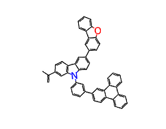 C=C(C)c1ccc2c3cc(-c4ccc5oc6ccccc6c5c4)ccc3n(-c3cccc(-c4ccc5c6ccccc6c6ccccc6c5c4)c3)c2c1